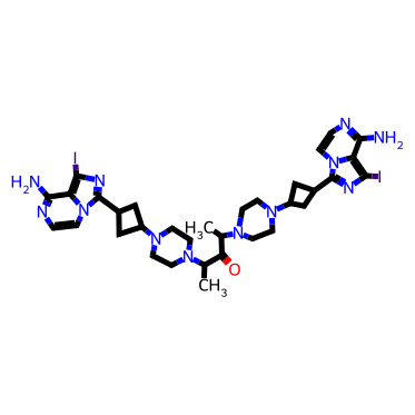 CC(C(=O)C(C)N1CCN(C2CC(c3nc(I)c4c(N)nccn34)C2)CC1)N1CCN(C2CC(c3nc(I)c4c(N)nccn34)C2)CC1